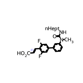 CCCCCCCNC(=O)N(C)c1cccc(-c2cc(F)c(/C=C/C(=O)O)c(F)c2)c1